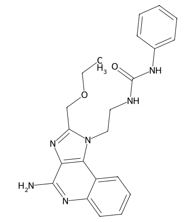 CCOCc1nc2c(N)nc3ccccc3c2n1CCNC(=O)Nc1ccccc1